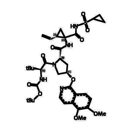 C=C[C@@H]1C[C@]1(NC(=O)[C@@H]1C[C@@H](Oc2nccc3c(OC)c(OC)ccc23)CN1C(=O)[C@@H](NC(=O)OC(C)(C)C)C(C)(C)C)C(=O)NS(=O)(=O)C1CC1